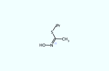 C/C(=N/O)SC(C)C